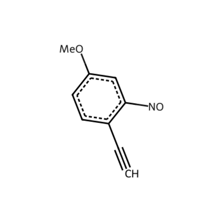 C#Cc1ccc(OC)cc1N=O